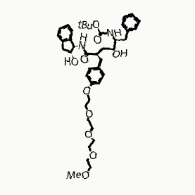 COCCOCCOCCOCCOc1ccc(C[C@H](C[C@H](O)[C@H](Cc2ccccc2)NC(=O)OC(C)(C)C)C(=O)N[C@H]2c3ccccc3C[C@H]2O)cc1